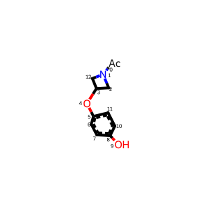 CC(=O)N1CC(Oc2ccc(O)cc2)C1